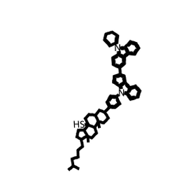 CC(C)CCCCC1CCC2C1(C)CCC1C3(C)CCC(c4ccc(-n5c6ccccc6c6cc(-c7ccc8c(c7)c7ccccc7n8C7=CCCC=C7)ccc65)cc4)CC3CCC21S